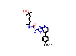 COc1ccc(-c2ccnc3nc(NC(=O)NC(C)CCCC(C)(C)O)nn23)cc1